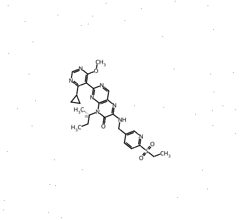 CC[C@H](C)n1c(=O)c(NCc2ccc(S(=O)(=O)CC)nc2)nc2cnc(-c3c(OC)ncnc3C3CC3)nc21